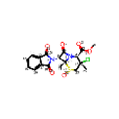 COC(=O)[C@@H]1N2C(=O)[C@@H](N3C(=O)c4ccccc4C3=O)[C@@H]2[S+]([O-])C[C@@]1(C)Cl